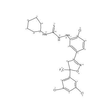 FC(F)(F)C1(c2cc(Cl)cc(Cl)c2)CC(c2ccc(Cl)c(NNC(=S)NC3CCCCC3)c2)=NO1